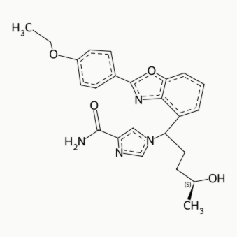 CCOc1ccc(-c2nc3c(C(CC[C@H](C)O)n4cnc(C(N)=O)c4)cccc3o2)cc1